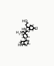 NCC1(C(=O)NC(CCO)c2ccc(Cl)cc2)CCN(c2ncnc3[nH]ccc23)CC1